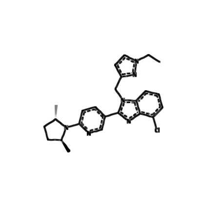 CCn1ccc(Cn2c(-c3ccc(N4[C@@H](C)CC[C@@H]4C)nc3)nc3c(Cl)cccc32)n1